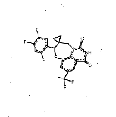 O=c1[nH]c(=O)n2c3c(cc(C(F)(F)F)cc13)SC(c1cc(Cl)c(F)cc1F)C1(CC1)C2